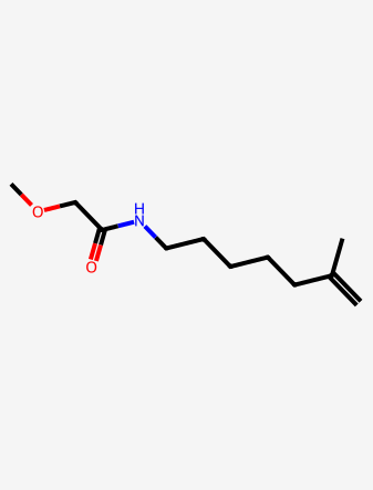 C=C(C)CCCCCNC(=O)COC